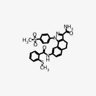 CSc1ccccc1C(=O)Nc1ccc2c(c1)-c1c(c(C(N)=O)nn1-c1ccc(S(C)(=O)=O)cc1)CC2